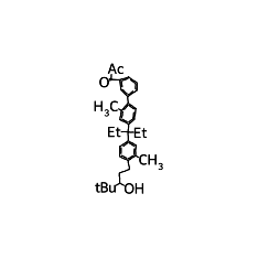 CCC(CC)(c1ccc(CCC(O)C(C)(C)C)c(C)c1)c1ccc(-c2cccc(C(=O)C(C)=O)c2)c(C)c1